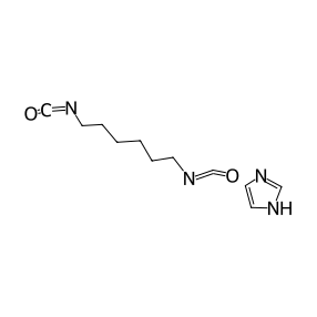 O=C=NCCCCCCN=C=O.c1c[nH]cn1